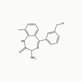 Cc1cccc2c1NC(=O)C(N)N=C2c1cccc(CF)c1